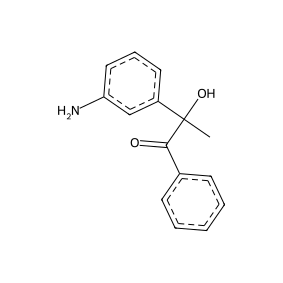 CC(O)(C(=O)c1ccccc1)c1cccc(N)c1